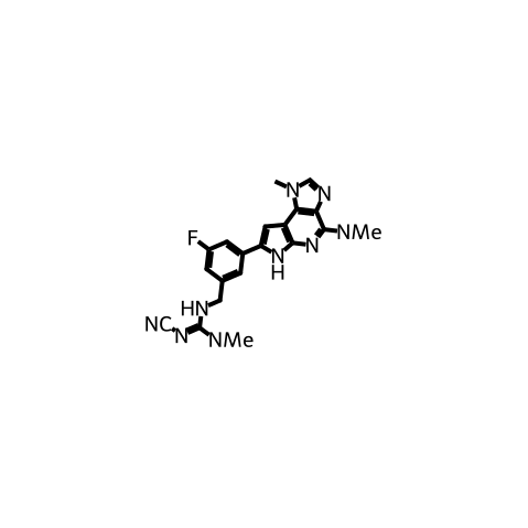 CN/C(=N/C#N)NCc1cc(F)cc(-c2cc3c(nc(NC)c4ncn(C)c43)[nH]2)c1